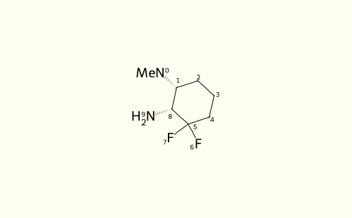 CN[C@@H]1CCCC(F)(F)[C@@H]1N